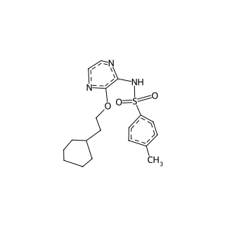 Cc1ccc(S(=O)(=O)Nc2nccnc2OCCC2CCCCC2)cc1